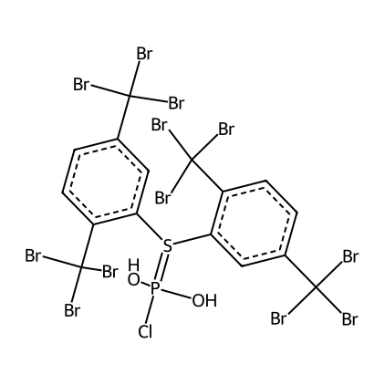 OP(O)(Cl)=S(c1cc(C(Br)(Br)Br)ccc1C(Br)(Br)Br)c1cc(C(Br)(Br)Br)ccc1C(Br)(Br)Br